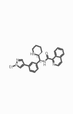 CCn1cc(-c2cccc([C@H](NC(=O)c3nccc4ccccc34)[C@@H]3CCCCN3)c2)cn1